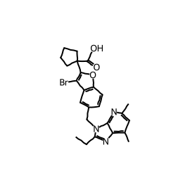 CCc1nc2c(C)cc(C)nc2n1Cc1ccc2oc(C3(C(=O)O)CCCC3)c(Br)c2c1